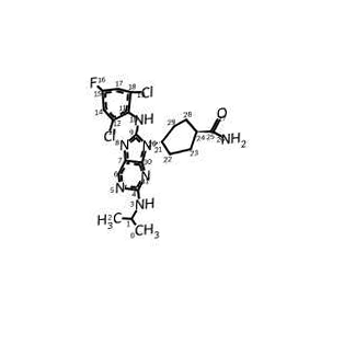 CC(C)Nc1ncc2nc(Nc3c(Cl)cc(F)cc3Cl)n([C@H]3CC[C@H](C(N)=O)CC3)c2n1